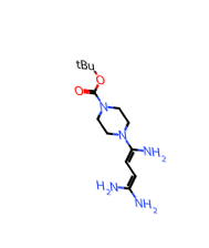 CC(C)(C)OC(=O)N1CCN(/C(N)=C/C=C(N)N)CC1